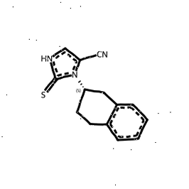 N#Cc1c[nH]c(=S)n1[C@H]1CCc2ccccc2C1